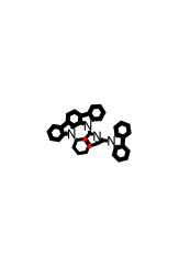 C1=CC(n2c3ccccc3c3ccc4c5ccccc5n(C5CCCCC5)c4c32)N2C1C2n1c2ccccc2c2ccccc21